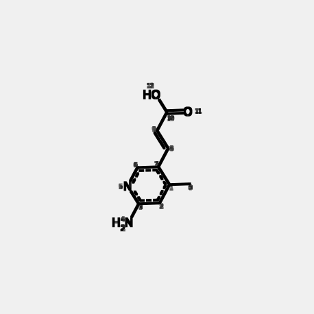 Cc1cc(N)ncc1/C=C/C(=O)O